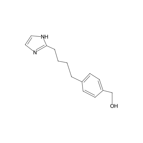 OCc1ccc(CCCCc2ncc[nH]2)cc1